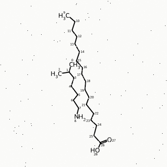 CC(C)CCCCCN.CCCCCCCCCCCCCCCCCC(=O)O